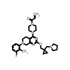 C=CC(=O)N1CCN(c2nc(OCC3(CN4CCCC4)CC3)nc3c2CCN(c2cccc(F)c2C(F)(F)F)C3)CC1